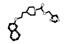 O=C(OCc1cscn1)N1CCC(CCOc2ccc3ccccc3c2)CC1